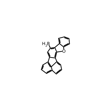 Bc1cc2c(c3oc4ccccc4c13)-c1cccc3cccc-2c13